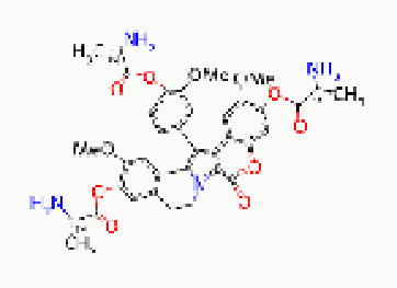 COc1cc(-c2c3n(c4c(=O)oc5cc(OC(=O)[C@H](C)N)c(OC)cc5c24)CCc2cc(OC(=O)[C@H](C)N)c(OC)cc2-3)ccc1OC(=O)[C@H](C)N